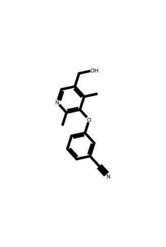 Cc1ncc(CO)c(C)c1Oc1cccc(C#N)c1